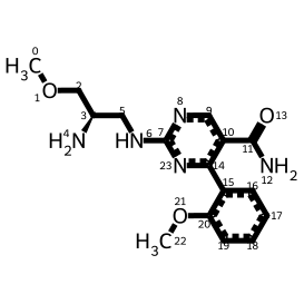 COC[C@H](N)CNc1ncc(C(N)=O)c(-c2ccccc2OC)n1